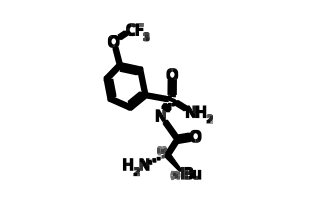 CC[C@H](C)[C@H](N)C(=O)N=S(N)(=O)c1cccc(OC(F)(F)F)c1